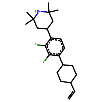 C=CC1CCC(c2ccc(C3CC(C)(C)NC(C)(C)C3)c(F)c2F)CC1